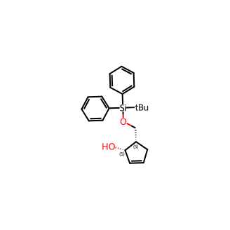 CC(C)(C)[Si](OC[C@@H]1CC=C[C@@H]1O)(c1ccccc1)c1ccccc1